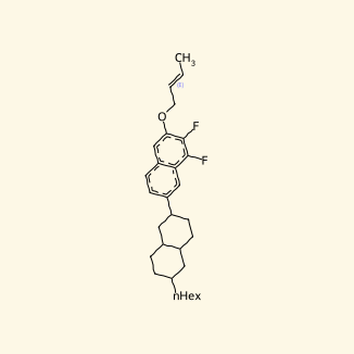 C/C=C/COc1cc2ccc(C3CCC4CC(CCCCCC)CCC4C3)cc2c(F)c1F